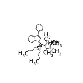 CCCC[Si](CCCC)=[Zr]([C]1=C(C)C(C)=C(C)C1C)[CH]1C=C(c2ccccc2)c2ccccc21.Cl.Cl